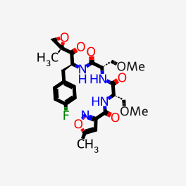 COC[C@H](NC(=O)c1cc(C)on1)C(=O)N[C@@H](COC)C(=O)N[C@@H](Cc1ccc(F)cc1)C(=O)[C@@]1(C)CO1